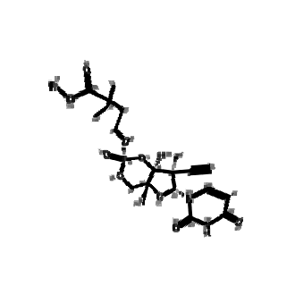 C#C[C@]1(C)[C@@H]2O[P@@](=O)(OCCC(C)(C)C(=O)OC(C)C)OC[C@H]2O[C@H]1n1ccc(=O)[nH]c1=O